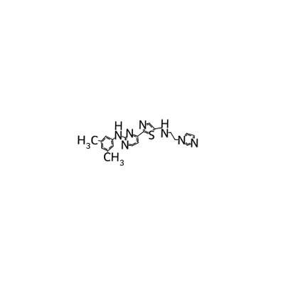 Cc1cc(C)cc(Nc2nccc(-c3ncc(CNCCn4ccnc4)s3)n2)c1